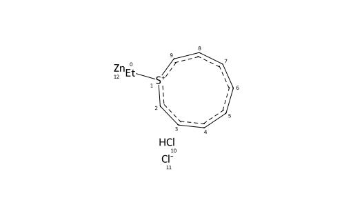 CC[s+]1cccccccc1.Cl.[Cl-].[Zn]